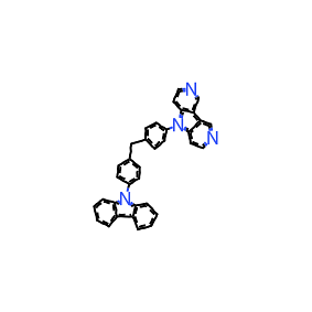 c1ccc2c(c1)c1ccccc1n2-c1ccc(Cc2ccc(-n3c4ccncc4c4cnccc43)cc2)cc1